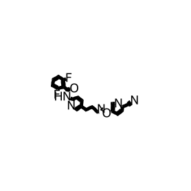 N#Cc1ccc(O/N=C/CCc2ccc(NC(=O)c3c(F)cccc3F)nc2)cn1